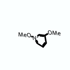 COc1ccc[n+](OC)c1